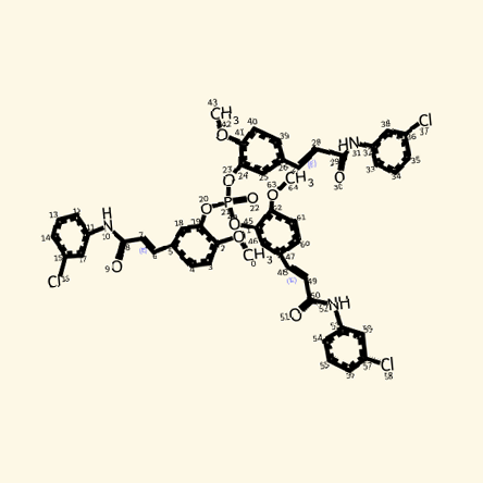 COc1ccc(/C=C/C(=O)Nc2cccc(Cl)c2)cc1OP(=O)(Oc1cc(/C=C/C(=O)Nc2cccc(Cl)c2)ccc1OC)Oc1cc(/C=C/C(=O)Nc2cccc(Cl)c2)ccc1OC